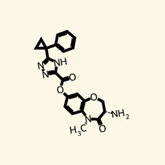 CN1C(=O)[C@@H](N)COc2cc(OC(=O)c3nnc(C4(c5ccccc5)CC4)[nH]3)ccc21